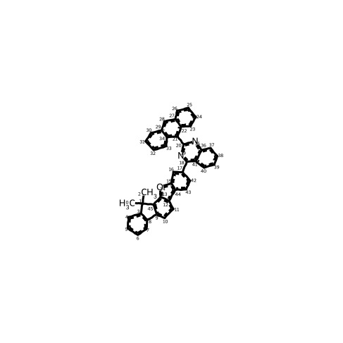 CC1(C)c2ccccc2-c2ccc3c(oc4cc(-c5nc(-c6c7ccccc7cc7ccccc67)nc6ccccc56)ccc43)c21